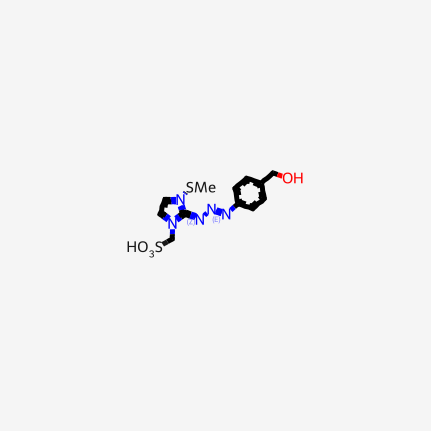 CSn1ccn(CS(=O)(=O)O)/c1=N/N=N/c1ccc(CO)cc1